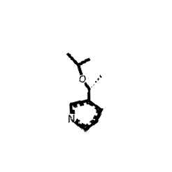 CC(C)O[C@H](C)c1cccnc1